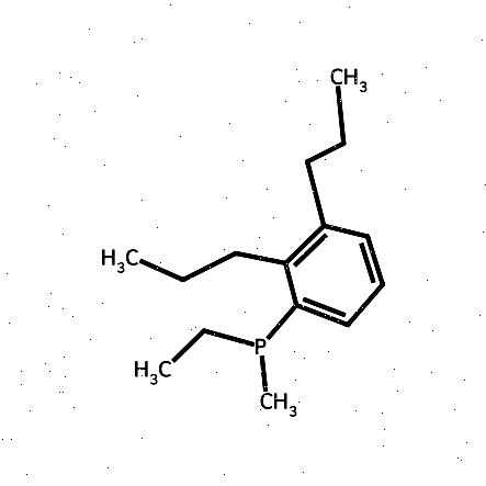 CCCc1cccc(P(C)CC)c1CCC